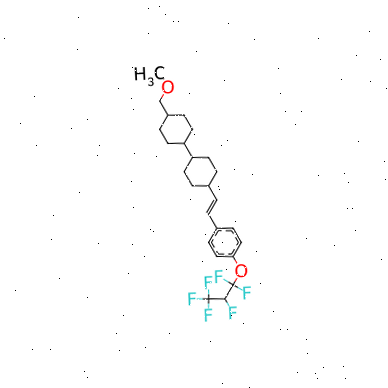 COCC1CCC(C2CCC(/C=C/c3ccc(OC(F)(F)C(F)C(F)(F)F)cc3)CC2)CC1